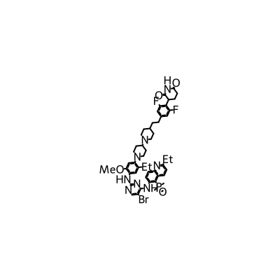 CCc1ccc2c(P(C)(C)=O)c(Nc3nc(Nc4cc(CC)c(N5CCC(N6CCC(CCc7cc(F)c(C8CCC(=O)NC8=O)c(F)c7)CC6)CC5)cc4OC)ncc3Br)ccc2n1